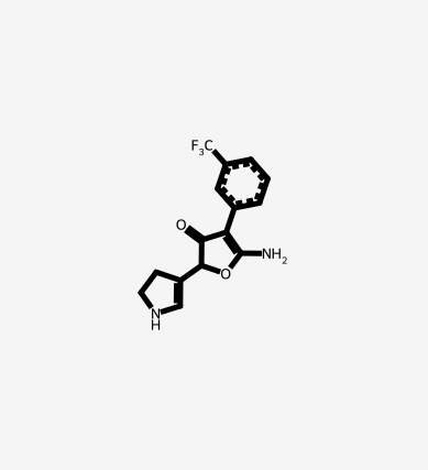 NC1=C(c2cccc(C(F)(F)F)c2)C(=O)C(C2=CNCC2)O1